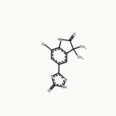 CC1(C)C(=O)Nc2c(Cl)cc(-c3n[nH]c(=O)s3)cc21